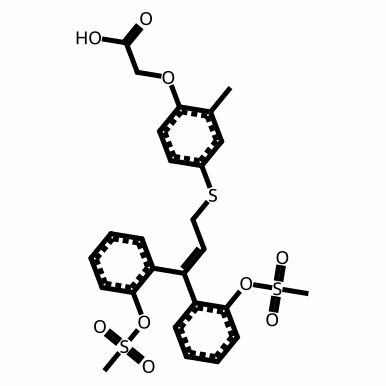 Cc1cc(SCC=C(c2ccccc2OS(C)(=O)=O)c2ccccc2OS(C)(=O)=O)ccc1OCC(=O)O